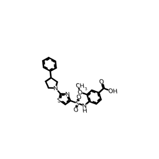 COc1cc(C(=O)O)ccc1NS(=O)(=O)c1csc(N2CCC(c3ccccc3)C2)n1